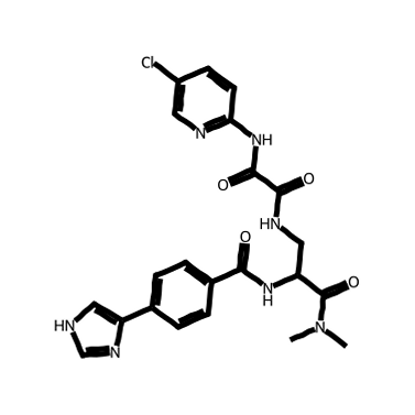 CN(C)C(=O)C(CNC(=O)C(=O)Nc1ccc(Cl)cn1)NC(=O)c1ccc(-c2c[nH]cn2)cc1